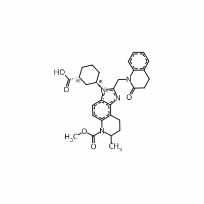 COC(=O)N1c2ccc3c(nc(CN4C(=O)CCc5ccccc54)n3[C@@H]3CCC[C@@H](C(=O)O)C3)c2CCC1C